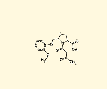 COc1ccccc1OCC1SCC(C(=O)O)N1C(=S)CC(C)=O